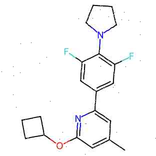 Cc1cc(OC2CCC2)nc(-c2cc(F)c(N3CCCC3)c(F)c2)c1